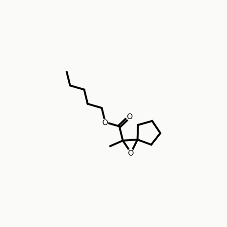 CCCCCOC(=O)C1(C)OC12CCCC2